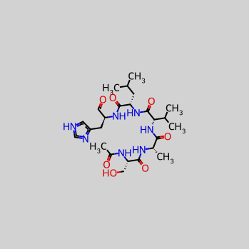 CC(=O)N[C@@H](CO)C(=O)N[C@@H](C)C(=O)N[C@H](C(=O)N[C@@H](CC(C)C)C(=O)N[C@H](C=O)Cc1c[nH]cn1)C(C)C